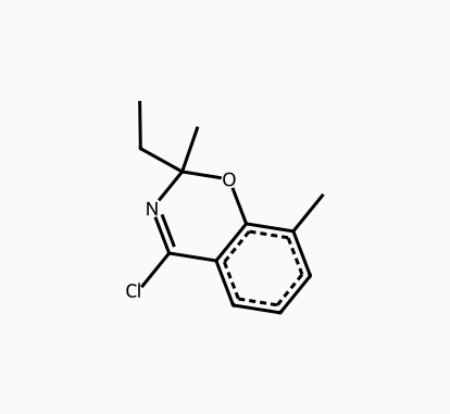 CCC1(C)N=C(Cl)c2cccc(C)c2O1